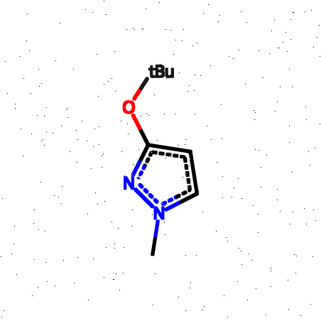 Cn1ccc(OC(C)(C)C)n1